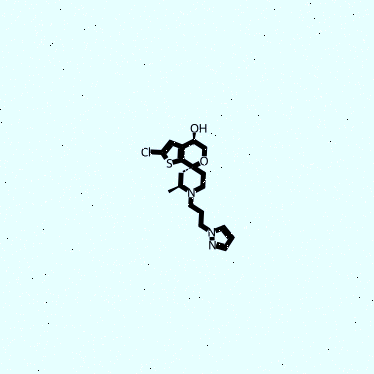 C[C@H]1C[C@@]2(CCN1CCCn1cccn1)OC[C@H](O)c1cc(Cl)sc12